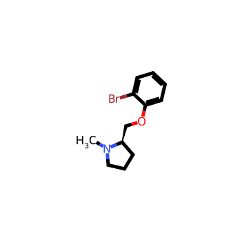 CN1CCC[C@@H]1COc1ccccc1Br